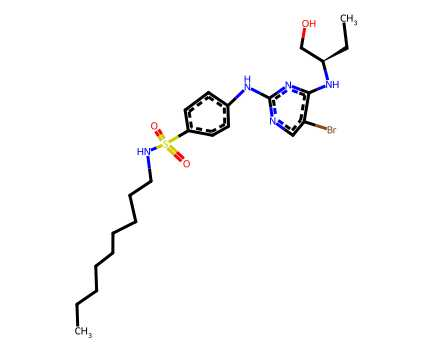 CCCCCCCCCNS(=O)(=O)c1ccc(Nc2ncc(Br)c(N[C@H](CC)CO)n2)cc1